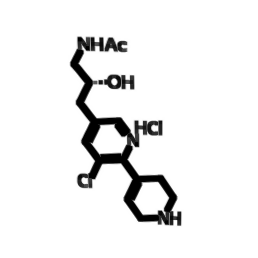 CC(=O)NC[C@H](O)Cc1cnc(C2=CCNCC2)c(Cl)c1.Cl